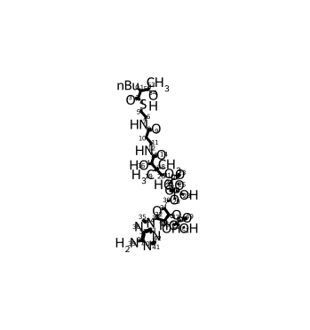 CCCCC(C(=O)SCCNC(=O)CCNC(=O)C(O)C(C)(C)COP(=O)(O)OP(=O)(O)OC[C@H]1O[C@@H](n2cnc3c(N)ncnc32)[C@H](O)[C@@H]1OP(=O)(O)O)C(C)O